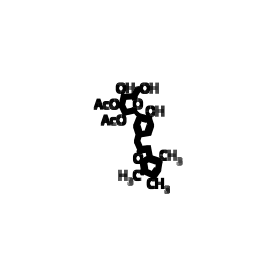 CC(=O)OC1[C@H](O)C(CO)O[C@@H](c2cc(Cc3cc4c(C)cc(C)c(C)c4o3)ccc2O)[C@@H]1OC(C)=O